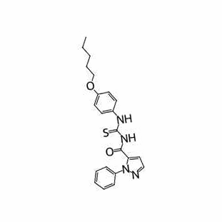 CCCCCOc1ccc(NC(=S)NC(=O)c2ccnn2-c2ccccc2)cc1